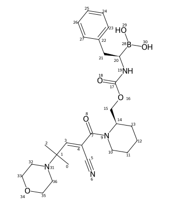 CC(C)(/C=C(\C#N)C(=O)N1CCCC[C@@H]1COC(=O)N[C@@H](Cc1ccccc1)B(O)O)N1CCOCC1